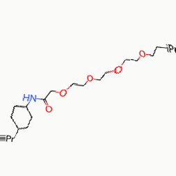 CC(C)CCOCCOCCOCCOCC(=O)NC1CCC(C(C)C)CC1